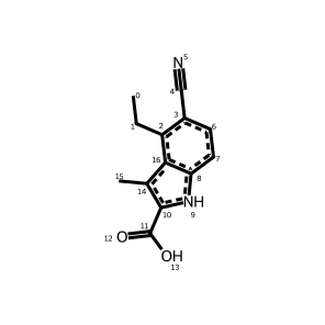 CCc1c(C#N)ccc2[nH]c(C(=O)O)c(C)c12